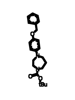 CC(C)(C)OC(=O)N1CCCN(c2ccc(OCc3ccccc3)cc2)CC1